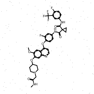 CNC(=O)CN1CCC(Oc2cc3nccc(Oc4ccc(NC(=O)C5(C(=O)Nc6ccc(F)c(C(F)(F)F)c6)CC5)cc4F)c3cc2OC)CC1